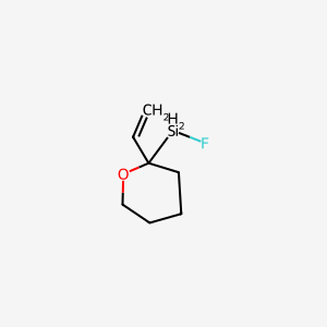 C=CC1([SiH2]F)CCCCO1